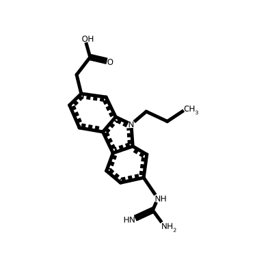 CCCn1c2cc(CC(=O)O)ccc2c2ccc(NC(=N)N)cc21